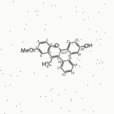 COc1ccc2c(c1)C(C)=C(c1ccccc1)C(c1ccc(O)cc1)O2